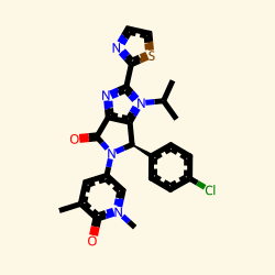 Cc1cc(N2C(=O)c3nc(-c4nccs4)n(C(C)C)c3[C@H]2c2ccc(Cl)cc2)cn(C)c1=O